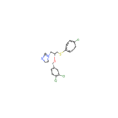 Clc1ccc(SCC(Cn2ccnc2)OCc2ccc(Cl)c(Cl)c2)cc1